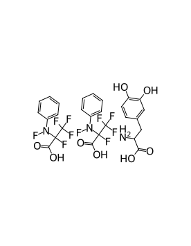 NC(Cc1ccc(O)c(O)c1)C(=O)O.O=C(O)C(F)(N(F)c1ccccc1)C(F)(F)F.O=C(O)C(F)(N(F)c1ccccc1)C(F)(F)F